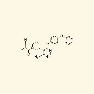 C=C(C#N)C(=O)N1CCC=C(c2c(N)ncnc2Oc2ccc(Oc3ccccc3)cc2)C1